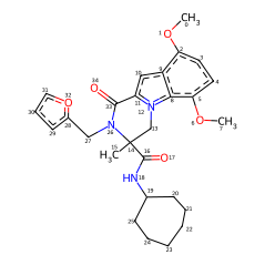 COc1ccc(OC)c2c1cc1n2CC(C)(C(=O)NC2CCCCCC2)N(Cc2ccco2)C1=O